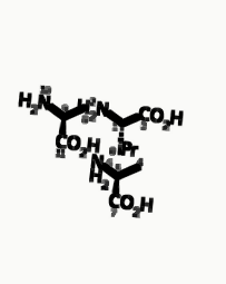 CC(C)[C@H](N)C(=O)O.C[C@H](N)C(=O)O.C[C@H](N)C(=O)O